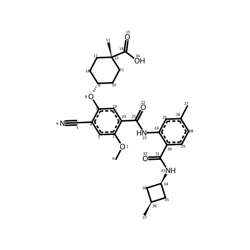 COc1cc(C#N)c(O[C@H]2CC[C@@](C)(C(=O)O)CC2)cc1C(=O)Nc1cc(C)ccc1C(=O)N[C@H]1C[C@@H](C)C1